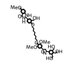 COc1ccc2c(c1)C(=O)NC(c1ccc(OCCCCCCCCOc3c(OC)cc(C4CC(c5cc(CO)c(CO)c(CO)c5)=NO4)cc3OC)c(CO)c1)N2